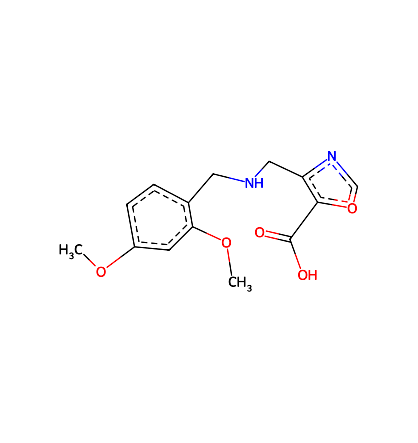 COc1ccc(CNCc2ncoc2C(=O)O)c(OC)c1